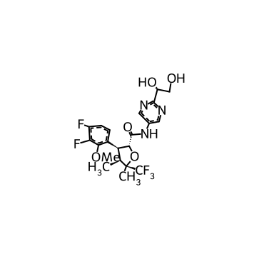 COc1c([C@H]2[C@H](C(=O)Nc3cnc([C@@H](O)CO)nc3)O[C@@](C)(C(F)(F)F)[C@H]2C)ccc(F)c1F